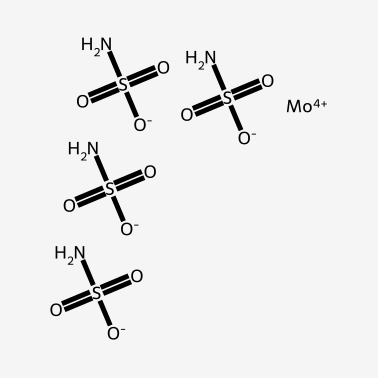 NS(=O)(=O)[O-].NS(=O)(=O)[O-].NS(=O)(=O)[O-].NS(=O)(=O)[O-].[Mo+4]